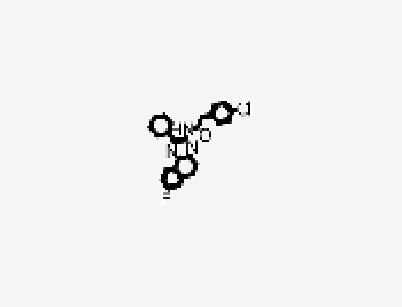 O=C(Cc1ccc(Cl)cc1)Nc1nc2c(nc1C1CCCCC1)-c1ccc(F)cc1CC2